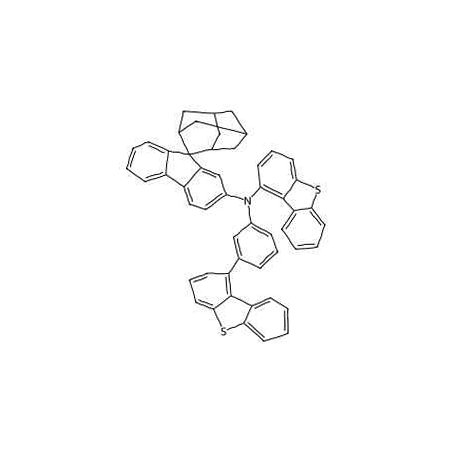 c1cc(-c2cccc3sc4ccccc4c23)cc(N(c2ccc3c(c2)C2(c4ccccc4-3)C3CC4CC(C3)CC2C4)c2cccc3sc4ccccc4c23)c1